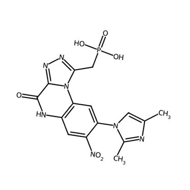 Cc1cn(-c2cc3c(cc2[N+](=O)[O-])[nH]c(=O)c2nnc(CP(=O)(O)O)n23)c(C)n1